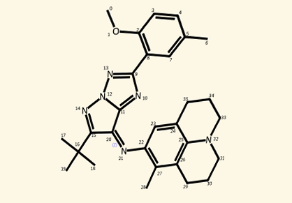 COc1ccc(C)cc1-c1nc2n(n1)N=C(C(C)(C)C)/C2=N/c1cc2c3c(c1C)CCCN3CCC2